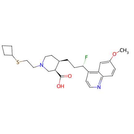 COc1ccc2nccc([C@@H](F)CC[C@@H]3CCN(CCSC4CCC4)C[C@@H]3C(=O)O)c2c1